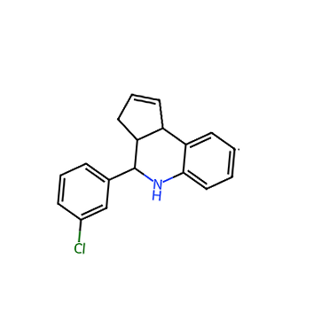 Clc1cccc(C2Nc3cc[c]cc3C3C=CCC32)c1